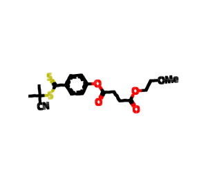 COCCOC(=O)CCC(=O)Oc1ccc(C(=S)SC(C)(C)C#N)cc1